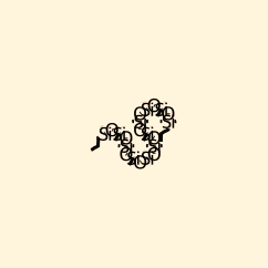 CCC[Si](C)(C)O[Si](C)(C)O[Si](C)(C)O[Si](C)(C)O[Si](C)(C)O[Si](C)(C)O[Si](C)(C)O[Si](C)(C)O[Si](C)(C)O[Si](C)(C)O[Si](C)(C)CCC